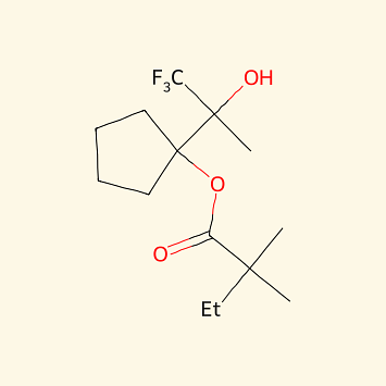 CCC(C)(C)C(=O)OC1(C(C)(O)C(F)(F)F)CCCC1